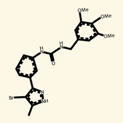 COc1cc(CNC(=O)Nc2cccc(-c3n[nH]c(C)c3Br)c2)cc(OC)c1OC